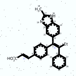 CC/C(=C(/c1ccc(/C=C/C(=O)O)cc1)c1ccc2[nH]c(C)nc2c1)c1ccccc1